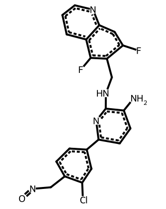 Nc1ccc(-c2ccc(CN=O)c(Cl)c2)nc1NCc1c(F)cc2ncccc2c1F